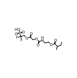 CCC(C)C(=O)OCCNC(=O)OCC(=O)OCC(F)(F)S(=O)(=O)O